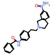 N[N+](=O)c1ccc2c(c1)CN(CCc1ccc(NC(=O)c3[c]cccc3)cc1)CC2